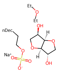 CCCCCCCCCCCCOS(=O)(=O)[O-].CCOCC.O[C@@H]1CO[C@H]2[C@@H]1OC[C@@H]2O.[Na+]